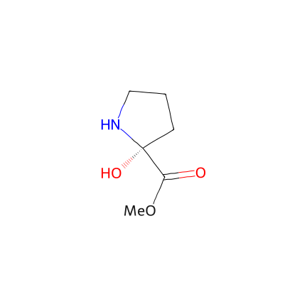 COC(=O)[C@]1(O)CCCN1